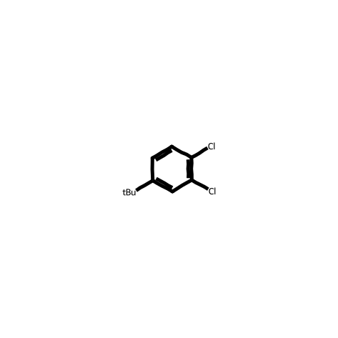 CC(C)(C)c1ccc(Cl)c(Cl)c1